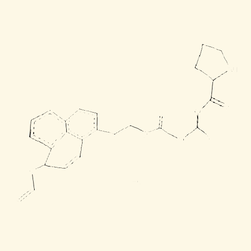 CC(OC(=O)NCCc1ccc2cccc3c2c1C=CC3OC=O)OC(=O)C1CCCN1.Cl